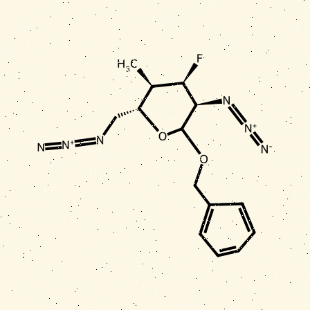 C[C@H]1[C@@H](F)[C@@H](N=[N+]=[N-])C(OCc2ccccc2)O[C@@H]1CN=[N+]=[N-]